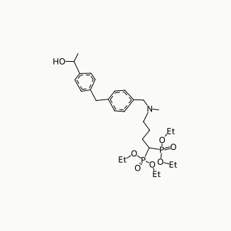 CCOP(=O)(OCC)C(CCCN(C)Cc1ccc(Cc2ccc(C(C)O)cc2)cc1)P(=O)(OCC)OCC